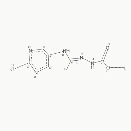 COC(=O)N/N=C(\C)Nc1cnc(Cl)nc1